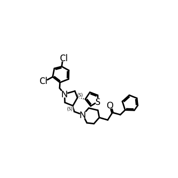 O=C(Cc1ccccc1)CC1CCN(C[C@H]2CN(Cc3ccc(Cl)cc3Cl)C[C@@H]2c2ccsc2)CC1